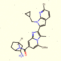 CCc1ccc2cc(-c3nc4cc(C(=O)N5C6CC[C@H]5CC6N)cc(OC)n4c3C)n(CC3CC3)c2n1